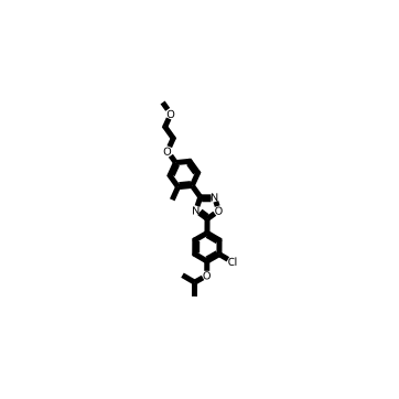 COCCOc1ccc(-c2noc(-c3ccc(OC(C)C)c(Cl)c3)n2)c(C)c1